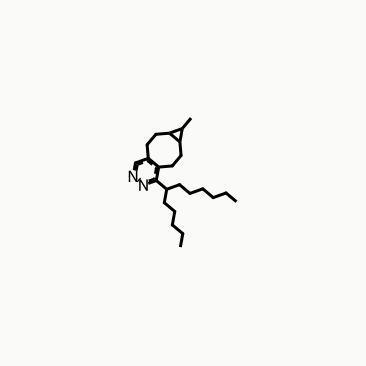 CCCCCCC(CCCCC)c1nncc2c1CCC1C(C)C1CC2